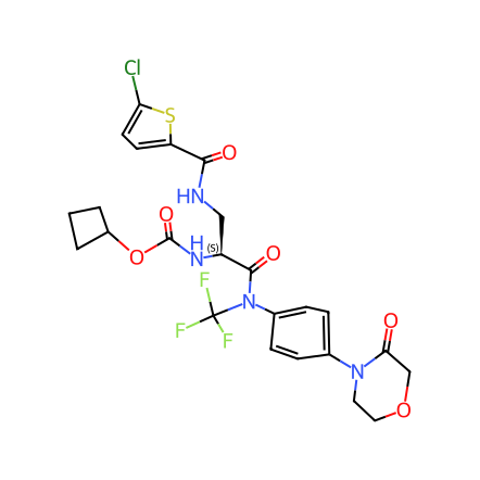 O=C(N[C@@H](CNC(=O)c1ccc(Cl)s1)C(=O)N(c1ccc(N2CCOCC2=O)cc1)C(F)(F)F)OC1CCC1